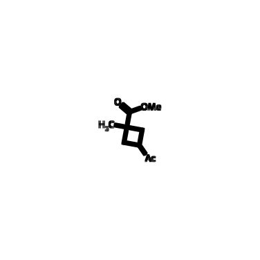 COC(=O)C1(C)CC(C(C)=O)C1